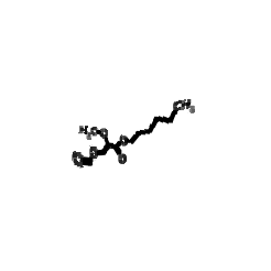 CCCCCCOC(=O)C(COC=O)OC